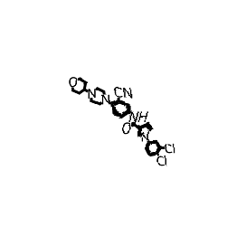 N#Cc1cc(NC(=O)c2ccn(-c3ccc(Cl)c(Cl)c3)c2)ccc1N1CCN(C2CCOCC2)CC1